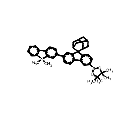 CC1(C)OB(c2ccc3c(c2)-c2ccc(-c4ccc5c(c4)S(C)(C)c4ccccc4-5)cc2C32C3CC4CC(C3)CC2C4)OC1(C)C